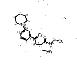 CC(C)C[C@H](NC(=O)c1ccnc(N2CCCCC2)c1)C(=O)NCC#N